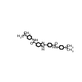 CN(C)c1ccc(NC(=O)c2ccc(-c3nc4cc(C(=O)Nc5ccc(N(C)C)cc5)ccc4[nH]3)cc2)cc1